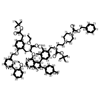 CCOC(=O)[C@H](Cc1cc(CC(=O)OC(C)(C)C)ccc1OCc1ccnc(-c2ccccc2OC)n1)Oc1ncnc2sc(-c3ccc(F)cc3)c(-c3ccc(CN(CCN4CCN(C(=O)OCc5ccccc5)CC4)C(=O)OC(C)(C)C)c(Cl)c3C)c12